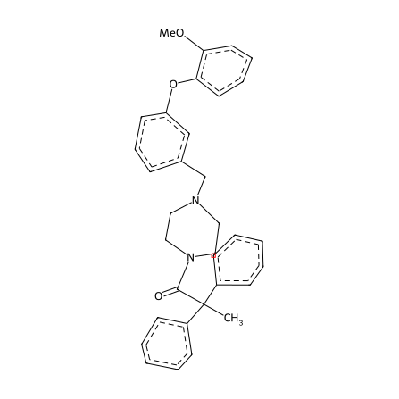 COc1ccccc1Oc1cccc(CN2CCN(C(=O)C(C)(c3ccccc3)c3ccccc3)CC2)c1